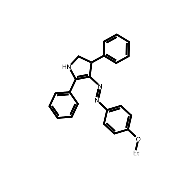 CCOc1ccc(N=NC2=C(c3ccccc3)NCC2c2ccccc2)cc1